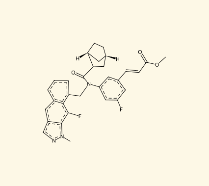 COC(=O)/C=C/c1cc(F)cc(N(Cc2cccc3cc4cnn(C)c4c(F)c23)C(=O)C2C[C@H]3CC[C@@H]2C3)c1